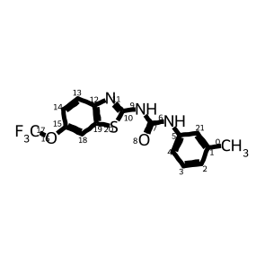 Cc1cccc(NC(=O)Nc2nc3ccc(OC(F)(F)F)cc3s2)c1